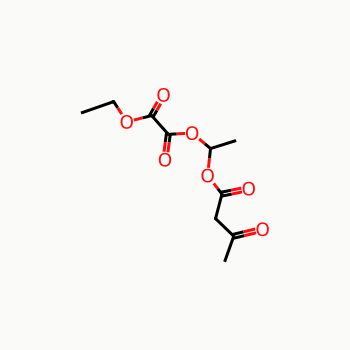 CCOC(=O)C(=O)OC(C)OC(=O)CC(C)=O